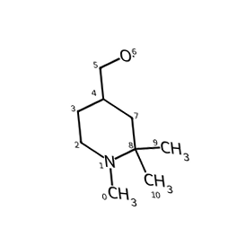 CN1CCC(C[O])CC1(C)C